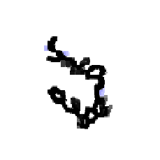 C=C/C(=C\C=C/C)CNC(=O)Nc1cccc(/C=C/c2n[nH]c3cc(C)c(NC(=O)Cc4cccs4)cc23)c1